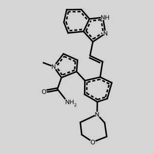 Cn1ccc(-c2cc(N3CCOCC3)ccc2C=Cc2n[nH]c3ccccc23)c1C(N)=O